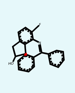 OC1Cc2ccc(F)c(N=C(c3ccccc3)c3ccccc3)c2C1